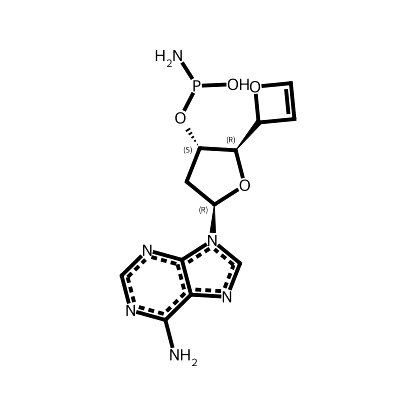 Nc1ncnc2c1ncn2[C@H]1C[C@H](OP(N)O)[C@@H](C2C=CO2)O1